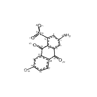 Nc1cc2c(c([N+](=O)[O-])c1)C(=O)c1cc(Cl)ccc1C2=O